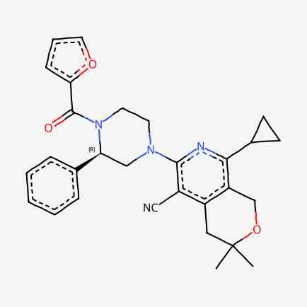 CC1(C)Cc2c(C#N)c(N3CCN(C(=O)c4ccco4)[C@H](c4ccccc4)C3)nc(C3CC3)c2CO1